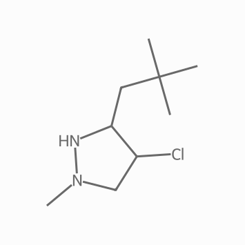 CN1CC(Cl)C(CC(C)(C)C)N1